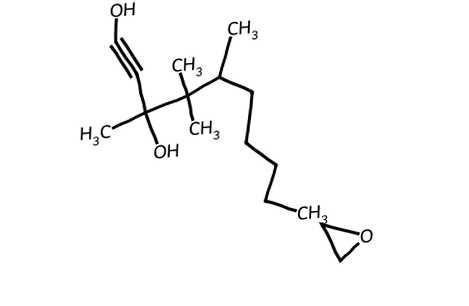 C1CO1.CCCCCC(C)C(C)(C)C(C)(O)C#CO